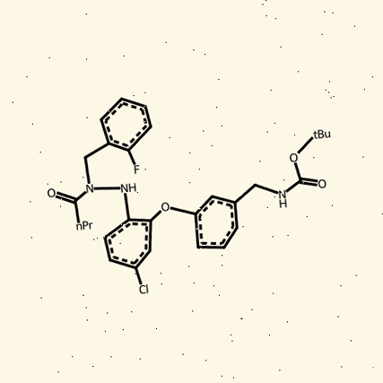 [CH2]CCC(=O)N(Cc1ccccc1F)Nc1ccc(Cl)cc1Oc1cccc(CNC(=O)OC(C)(C)C)c1